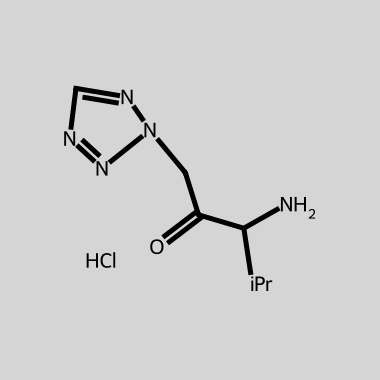 CC(C)C(N)C(=O)Cn1ncnn1.Cl